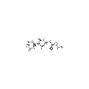 CCOC(=O)Cc1ccc(N2CCOCC2)cc1